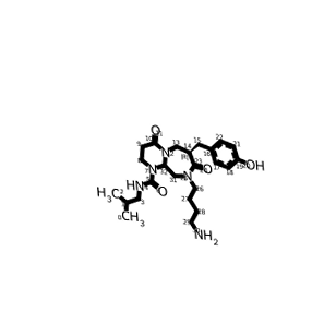 CC(C)CNC(=O)N1CCC(=O)N2C[C@@H](Cc3ccc(O)cc3)C(=O)N(CCCCN)CC21